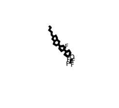 CCCCCC1CCC2CC(c3ccc(-c4ccc(OC(F)(F)C(F)F)cc4)c(F)c3)CCC2C1